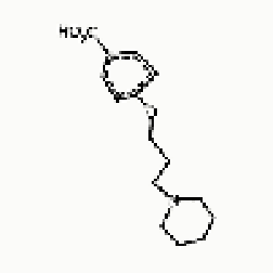 O=C(O)c1ccc(OCCCN2CCCCC2)cc1